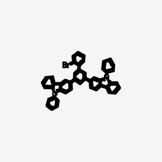 Brc1ccccc1-c1cc(-c2ccc3c(c2)c2ccccc2n3-c2ccccc2)cc(-c2ccc3c4ccccc4n(-c4ccccc4)c3c2)c1